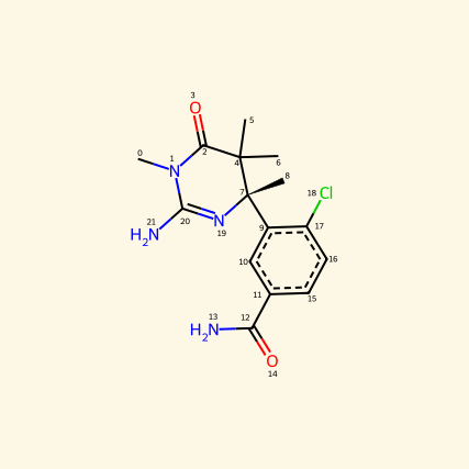 CN1C(=O)C(C)(C)[C@](C)(c2cc(C(N)=O)ccc2Cl)N=C1N